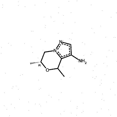 CC1O[C@H](C)Cn2ncc(N)c21